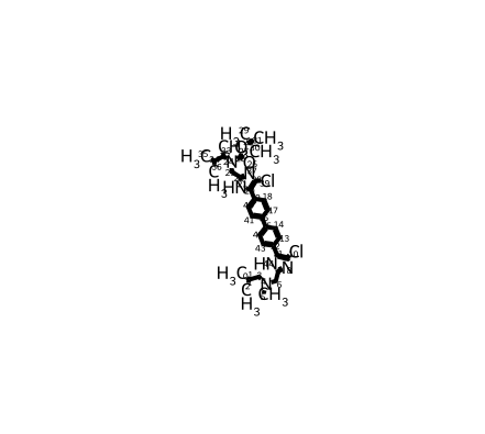 CC(C)CN(C)Cc1nc(Cl)c(-c2ccc(-c3ccc(-c4[nH]c(CN(C(=O)OC(C)(C)C)C(C)C(C)C)nc4Cl)cc3)cc2)[nH]1